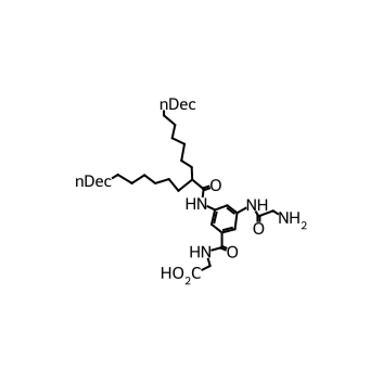 CCCCCCCCCCCCCCCCC(CCCCCCCCCCCCCCCC)C(=O)Nc1cc(NC(=O)CN)cc(C(=O)NCC(=O)O)c1